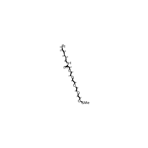 CSOCCOCCOCCOCCOCC(=O)NCCCCCC(C)C